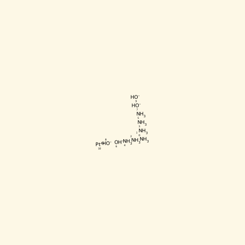 N.N.N.N.N.N.[OH-].[OH-].[OH-].[OH-].[Pt+4]